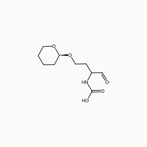 O=CC(CCO[C@H]1CCCCO1)NC(=O)O